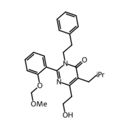 COCOc1ccccc1-c1nc(CCO)c(CC(C)C)c(=O)n1CCc1ccccc1